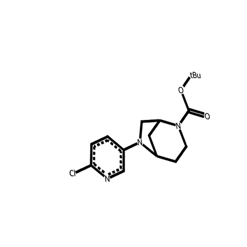 CC(C)(C)OC(=O)N1CCC2CC1CN2c1ccc(Cl)nc1